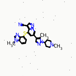 Cc1c(-c2cc(SC3=CC=CC4C3=NC=[N+]4C)c3c(C#N)cnn3c2)cnn1C1CCN(C)CC1